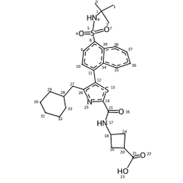 CC(C)(C)NS(=O)(=O)c1ccc(-c2sc(C(=O)NC3CC(C(=O)O)C3)nc2CC2CCCCC2)c2ccccc12